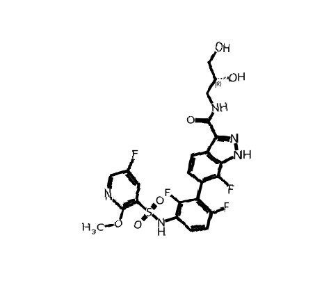 COc1ncc(F)cc1S(=O)(=O)Nc1ccc(F)c(-c2ccc3c(C(=O)NC[C@@H](O)CO)n[nH]c3c2F)c1F